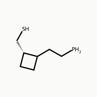 PCCC1CC[C@@H]1CS